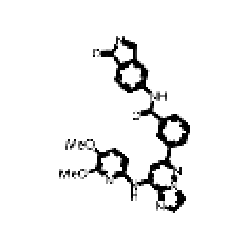 COc1ccc(Nc2cc(-c3cccc(C(=O)Nc4ccc5c(c4)C=NC5=O)c3)nn3ccnc23)nc1OC